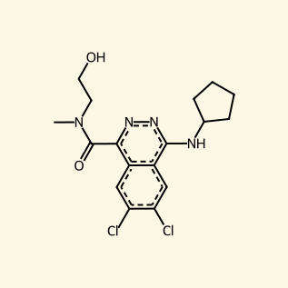 CN(CCO)C(=O)c1nnc(NC2CCCC2)c2cc(Cl)c(Cl)cc12